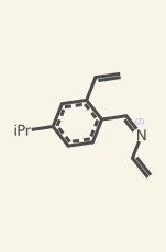 C=C/N=C\c1ccc(C(C)C)cc1C=C